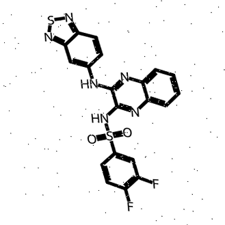 O=S(=O)(Nc1nc2ccccc2nc1Nc1ccc2nsnc2c1)c1ccc(F)c(F)c1